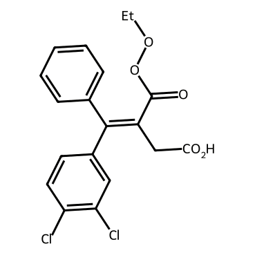 CCOOC(=O)/C(CC(=O)O)=C(\c1ccccc1)c1ccc(Cl)c(Cl)c1